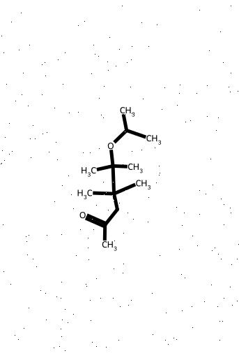 CC(=O)CC(C)(C)C(C)(C)OC(C)C